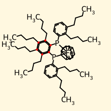 CCCCc1cccc(P(c2cccc(CCCC)c2CCCC)[C]23[CH]4[CH]5[CH]6[C]2(P(c2cccc(CCCC)c2CCCC)c2cccc(CCCC)c2CCCC)[Fe]54632789[CH]3[CH]2[CH]7[CH]8[CH]39)c1CCCC